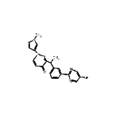 CC(c1cccc(-c2ncc(Br)cn2)c1)c1nn(-c2cnn(C)c2)ccc1=O